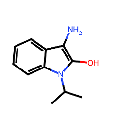 CC(C)n1c(O)c(N)c2ccccc21